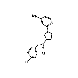 C#Cc1ccnc(N2CCC(NCc3ccc(Cl)cc3Cl)C2)c1